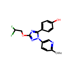 COc1ccc(-n2nc(OCC(F)F)nc2-c2ccc(O)cc2)cn1